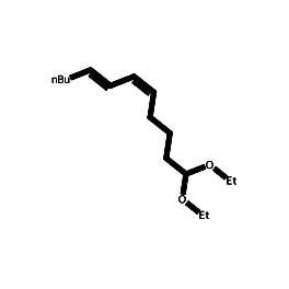 CCCC/C=C/C=C\CCCC(OCC)OCC